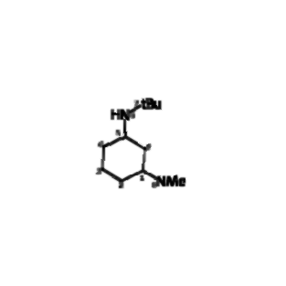 CNC1CCCC(NC(C)(C)C)C1